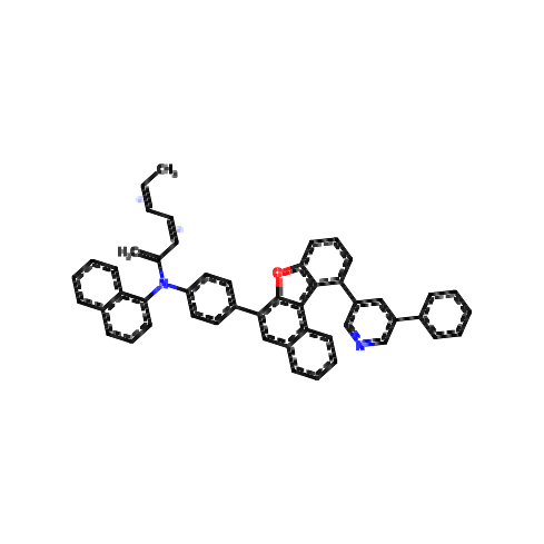 C=C(/C=C\C=C/C)N(c1ccc(-c2cc3ccccc3c3c2oc2cccc(-c4cncc(-c5ccccc5)c4)c23)cc1)c1cccc2ccccc12